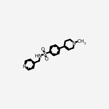 CN1CC=C(c2ccc(S(=O)(=O)NCc3ccncc3)cc2)CC1